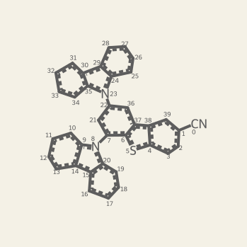 N#Cc1ccc2sc3c(-n4c5ccccc5c5ccccc54)cc(-n4c5ccccc5c5ccccc54)cc3c2c1